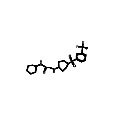 O=C(CNC1CCC(S(=O)(=O)c2cccc(C(F)(F)F)c2)CC1)NC1CCCCC1